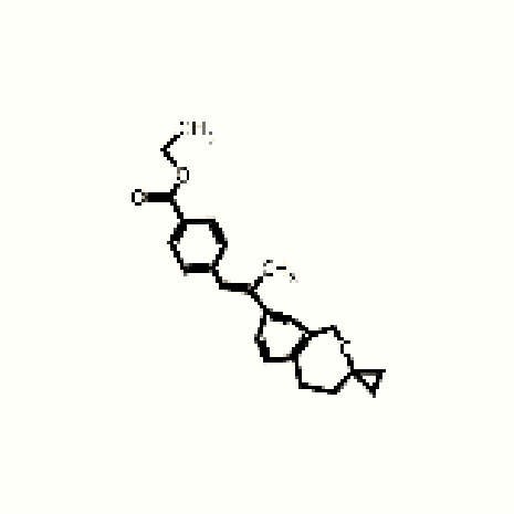 CCOC(=O)c1ccc(C=C(C)c2ccc3c(c2)CCC2(CC3)CC2)cc1